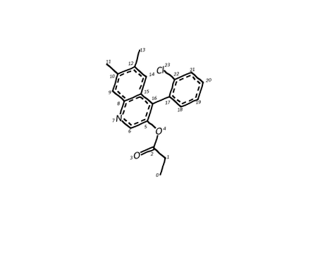 CCC(=O)Oc1cnc2cc(C)c(C)cc2c1-c1ccccc1Cl